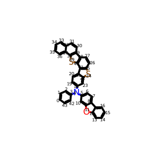 c1ccc(N(c2ccc3c(c2)oc2ccccc23)c2ccc3c(c2)sc2ccc4c5ccc6ccccc6c5sc4c23)cc1